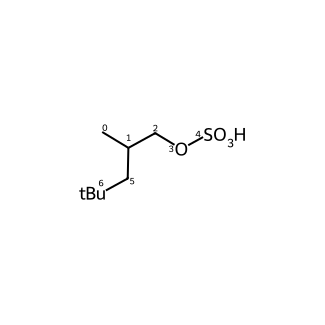 CC(COS(=O)(=O)O)CC(C)(C)C